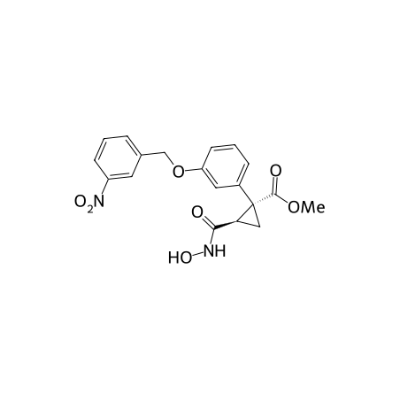 COC(=O)[C@]1(c2cccc(OCc3cccc([N+](=O)[O-])c3)c2)C[C@H]1C(=O)NO